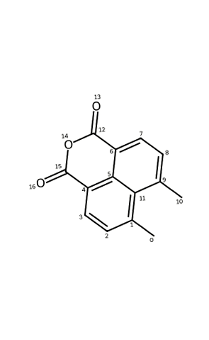 Cc1ccc2c3c(ccc(C)c13)C(=O)OC2=O